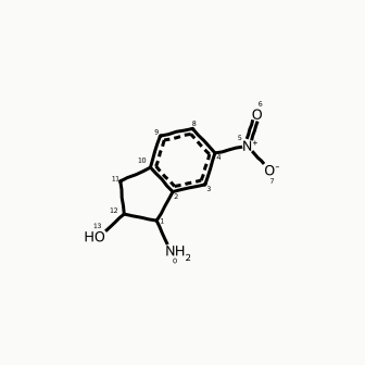 NC1c2cc([N+](=O)[O-])ccc2CC1O